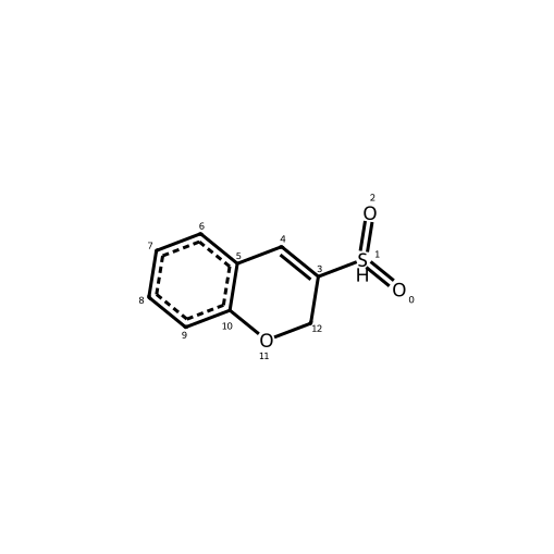 O=[SH](=O)C1=Cc2ccccc2OC1